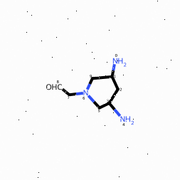 NC1CC(N)CN(CC=O)C1